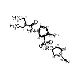 CCC(CC)C(=O)Nc1ccc(I)c(S(=O)(=O)N[C@@H]2CCN(C#N)C2)c1